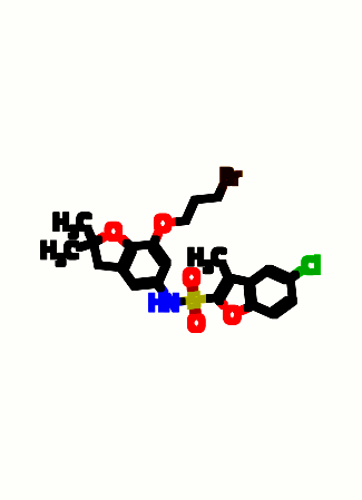 Cc1c(S(=O)(=O)Nc2cc3c(c(OCCCBr)c2)OC(C)(C)C3)oc2ccc(Cl)cc12